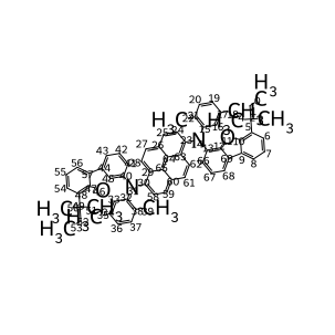 CCC(C)(C)c1cccc2c1oc1c(N(c3cc(C)ccc3C)c3ccc4ccc5c(N(c6cc(C)ccc6C)c6cccc7c6oc6c(C(C)(C)CC)cccc67)ccc6ccc3c4c65)cccc12